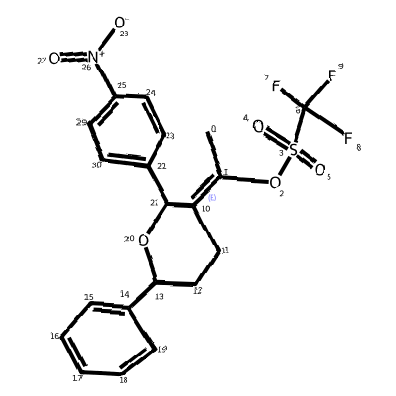 C/C(OS(=O)(=O)C(F)(F)F)=C1/CCC(c2ccccc2)OC1c1ccc([N+](=O)[O-])cc1